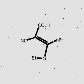 CCCC(OCC)=C(C#N)C(=O)O